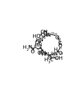 CC(O)[C@@H]1NC(=O)N[C@H](CCC(N)=O)C(=O)NNC(=O)[C@@H](C(C)O)NC(=O)COCCOCCNC1=O